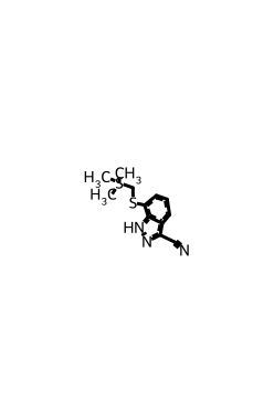 CS(C)(C)CSc1cccc2c(C#N)n[nH]c12